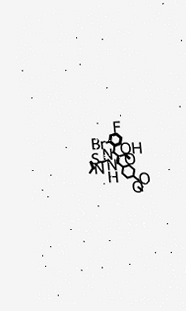 COC(=O)C1CCC(C2=C(C(=O)O)C(c3ccc(F)cc3Br)N=C(c3nc(C)cs3)N2)CC1